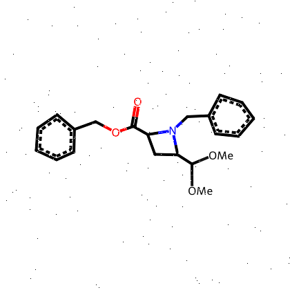 COC(OC)C1CC(C(=O)OCc2ccccc2)N1Cc1ccccc1